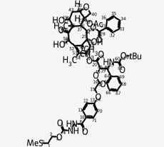 CSCCOC(=O)NNC(=O)c1ccc(OCC(=O)O[C@@H](C(=O)O[C@H]2C[C@@]3(O)[C@@H](OC(=O)c4ccccc4)[C@@H]4[C@]5(OC(C)=O)CO[C@@H]5C[C@H](O)[C@@]4(C)C(=O)[C@H](O)C(=C2C)C3(C)C)[C@@H](NC(=O)OC(C)(C)C)c2ccccc2)cc1